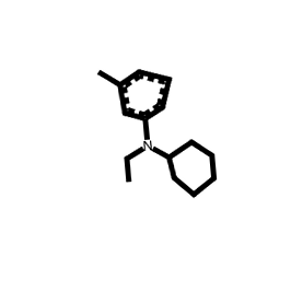 CCN(c1cccc(C)c1)C1CCCCC1